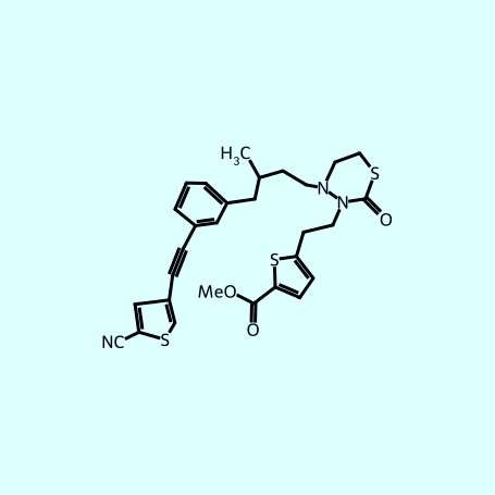 COC(=O)c1ccc(CCN2C(=O)SCCN2CCC(C)Cc2cccc(C#Cc3csc(C#N)c3)c2)s1